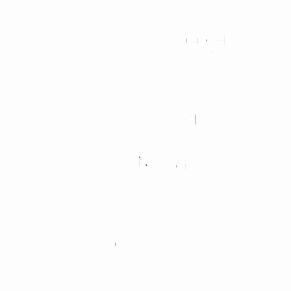 O=C(O)c1ccc(C(=O)C2=C(O)C(=O)N(c3ccc(C(F)(F)F)cc3)C2c2ccccc2)cc1